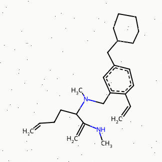 C=CCCC(C(=C)NC)N(C)Cc1cc(CC2CCCCC2)ccc1C=C